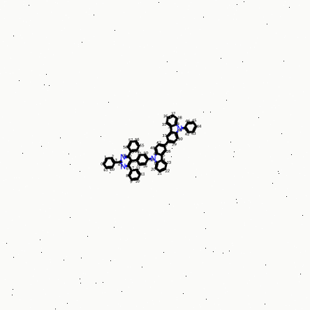 c1ccc(-c2nc(-c3ccccc3)c(-c3ccc(-n4c5ccccc5c5cc(-c6ccc7c(c6)c6ccccc6n7-c6ccccc6)ccc54)cc3)c(-c3ccccc3)n2)cc1